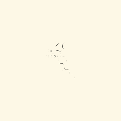 CCCC=C(C)C1=CCC(c2cc(C)ccc2S(=O)(=O)OC)CC1